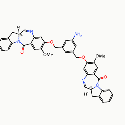 COc1cc2c(cc1OCc1cc(N)cc(COc3cc4c(cc3OC)C(=O)N3c5ccccc5C[C@H]3C=N4)c1)N=C[C@@H]1Cc3ccccc3N1C2=O